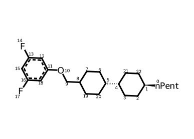 CCCCC[C@H]1CC[C@H](C2CCC(COc3cc(F)cc(F)c3)CC2)CC1